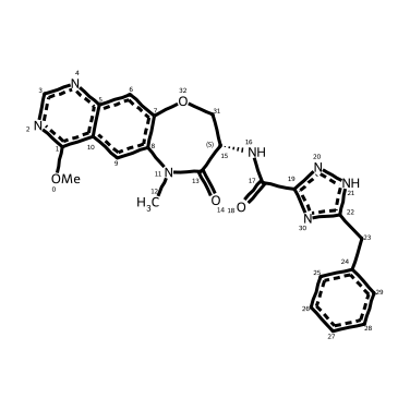 COc1ncnc2cc3c(cc12)N(C)C(=O)[C@@H](NC(=O)c1n[nH]c(Cc2ccccc2)n1)CO3